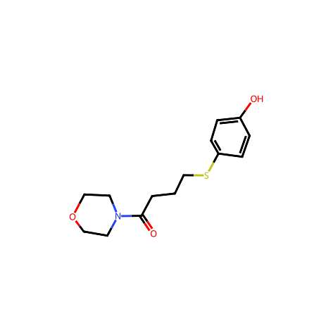 O=C(CCCSc1ccc(O)cc1)N1CCOCC1